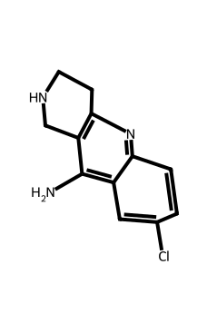 Nc1c2c(nc3ccc(Cl)cc13)CCNC2